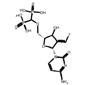 Nc1ccn([C@@H]2O[C@H](COC(P(=O)(O)O)P(=O)(O)O)C(O)C2=CF)c(=O)n1